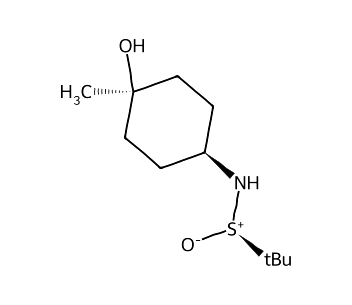 CC(C)(C)[S@@+]([O-])N[C@H]1CC[C@@](C)(O)CC1